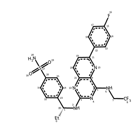 CC[C@@H](Nc1nc(NCC(F)(F)F)c2nc(-c3ccc(F)cc3)ccc2n1)c1ccc(S(N)(=O)=O)cc1